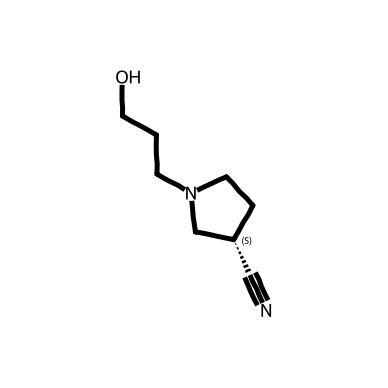 N#C[C@H]1CCN(CCCO)C1